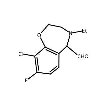 CCN1CCOc2c(ccc(F)c2Cl)C1C=O